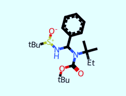 CCC(C)(C)N(C(=O)OC(C)(C)C)C(N[S+]([O-])C(C)(C)C)c1ccccc1